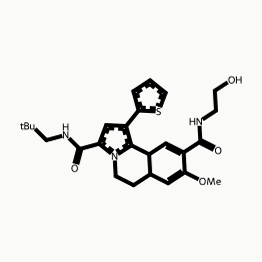 COC1=CC2CCn3c(C(=O)NCC(C)(C)C)cc(-c4cccs4)c3C2C=C1C(=O)NCCO